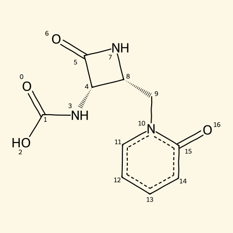 O=C(O)N[C@@H]1C(=O)N[C@@H]1Cn1ccccc1=O